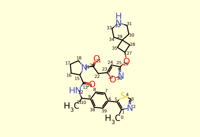 Cc1ncsc1-c1ccc(C(C)NC(=O)C2CCCN2C(=O)Cc2cc(OC3CC4(CCNCC4)C3)no2)cc1